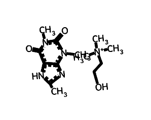 C[N+](C)(C)CCO.Cc1nc2c([nH]1)c(=O)n(C)c(=O)n2C